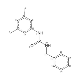 Cc1cc(C)cc(NC(=O)NCc2ccccc2)c1